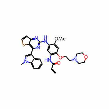 C=CC(=O)Nc1cc(Nc2nc(-c3cn(C)c4ccccc34)c3sccc3n2)c(OC)cc1OCCN1CCOCC1